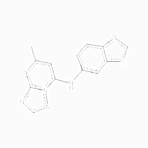 Cc1cc(Nc2ccc3ncsc3c2)n2ncnc2n1